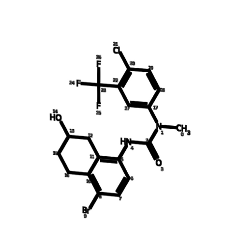 CN(C(=O)Nc1ccc(Br)c2c1CC(O)CC2)c1ccc(Cl)c(C(F)(F)F)c1